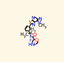 Cn1cnc2cnc3sc(-c4cccc(C(C)(C)NC(=O)C5CNCCO5)c4)nc3c21